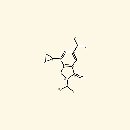 CC(C)c1cc2c(c(C3CC3)n1)CN(C(C)C)C2=O